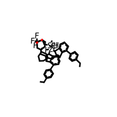 CCc1ccc(-c2cccc3c2C=C(CC2CCCCC2)[CH]3[Zr]([Cl])([Cl])([CH]2C(CC3CCCCC3)=Cc3c(-c4ccc(CC)cc4)cccc32)[SiH](C)CCC(F)(F)F)cc1